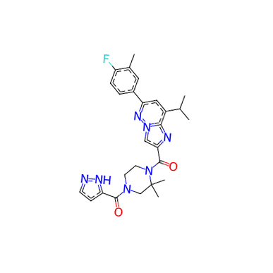 Cc1cc(-c2cc(C(C)C)c3nc(C(=O)N4CCN(C(=O)c5ccn[nH]5)CC4(C)C)cn3n2)ccc1F